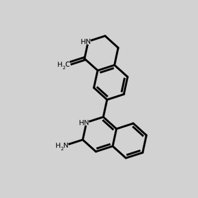 C=C1NCCc2ccc(C3=c4ccccc4=CC(N)N3)cc21